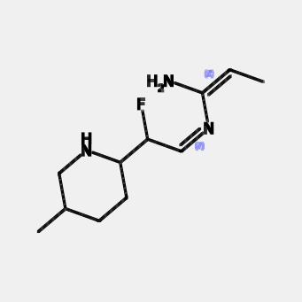 C/C=C(N)\N=C/C(F)C1CCC(C)CN1